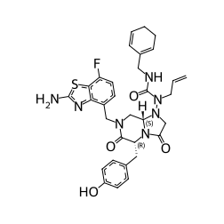 C=CCN(C(=O)NCC1=CCCC=C1)N1CC(=O)N2[C@H](Cc3ccc(O)cc3)C(=O)N(Cc3ccc(F)c4sc(N)nc34)C[C@@H]21